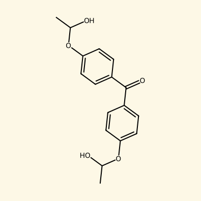 CC(O)Oc1ccc(C(=O)c2ccc(OC(C)O)cc2)cc1